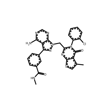 CNC(=O)c1cccc(-c2nn(Cc3nc4scc(C)c4c(=O)n3-c3ccccc3Cl)c3ncnc(N)c23)c1